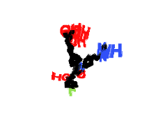 O=C1[C@H](CC[C@H](O)c2ccc(F)cc2)[C@@H](c2ccc(CCCC(O)(CO)CO)cc2)N1c1ccc(CCc2nc[nH]n2)cc1